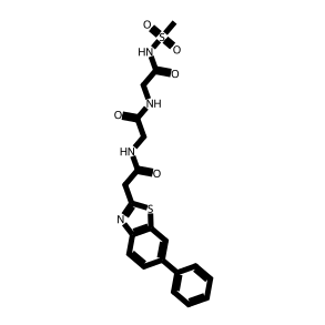 CS(=O)(=O)NC(=O)CNC(=O)CNC(=O)Cc1nc2ccc(-c3ccccc3)cc2s1